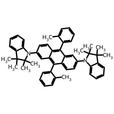 Cc1ccccc1-c1c2ccc(N3c4ccccc4C(C)(C)C3(C)C)cc2c(-c2ccccc2C)c2ccc(N3c4ccccc4C(C)(C)C3(C)C)cc12